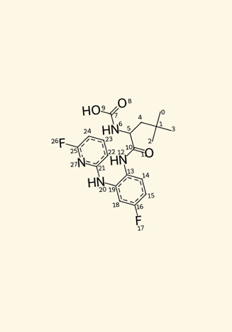 CC(C)(C)CC(NC(=O)O)C(=O)Nc1ccc(F)cc1Nc1cccc(F)n1